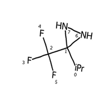 CC(C)C1(C(F)(F)F)NN1